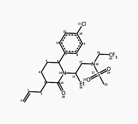 C=CCC1CCC(c2ccc(Cl)cc2)N(C(CC)CN(CC(F)(F)F)S(C)(=O)=O)C1=O